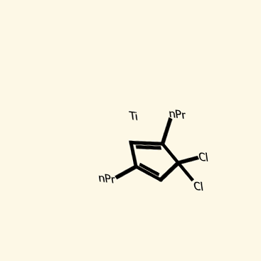 CCCC1=CC(Cl)(Cl)C(CCC)=C1.[Ti]